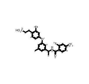 CCc1cc(Oc2cc(C)cc(C(C)NC(=O)c3ccc(C(F)(F)F)cc3F)c2)ccc1CCC(=O)O